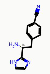 N#Cc1ccc(C[C@@H](N)c2ncc[nH]2)cc1